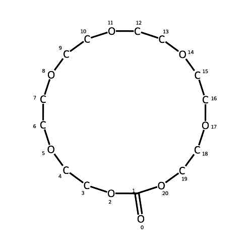 O=C1OCCOCCOCCOCCOCCOCCO1